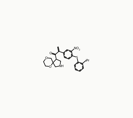 C=C(C(=O)C1CNCC12COCCO2)c1ccc(Sc2ccccc2C(C)C)c([N+](=O)[O-])c1